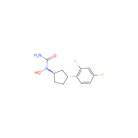 NC(=O)N(O)[C@@H]1CC[C@@H](c2ccc(F)cc2F)C1